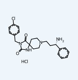 Cl.N[C@@H](CCN1CCC2(CC1)NC(=O)N(Cc1ccc(Cl)cc1)C2=O)c1ccccc1